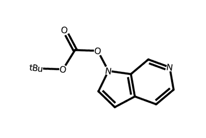 CC(C)(C)OC(=O)On1ccc2ccncc21